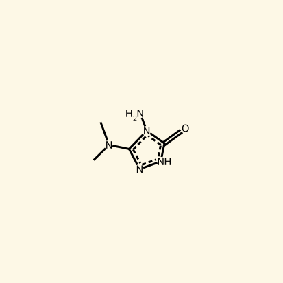 CN(C)c1n[nH]c(=O)n1N